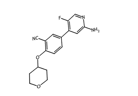 N#Cc1cc(-c2cc(N)ncc2F)ccc1OC1CCOCC1